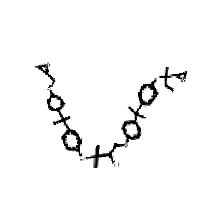 CCC(C)(Oc1ccc(C(C)(C)c2ccc(OCC(O)C(C)(C)Oc3ccc(C(C)(C)c4ccc(OCC5CO5)cc4)cc3)cc2)cc1)C1CO1